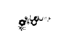 CS(=O)(=O)c1cccc(S(=O)(=O)NC2CCCc3c2cnn3CC(=O)O)c1